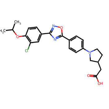 CC(C)Oc1ccc(-c2noc(-c3ccc(N4CCC(CC(=O)O)C4)cc3)n2)cc1Cl